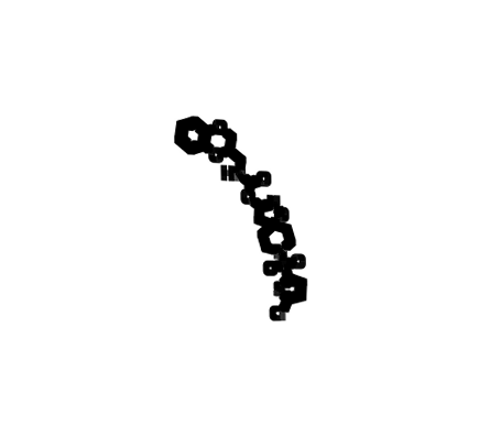 O=C(NCC1COc2ccccc2O1)OC1=NOC2(CCN(S(=O)(=O)c3ccc(Cl)s3)CC2)C1